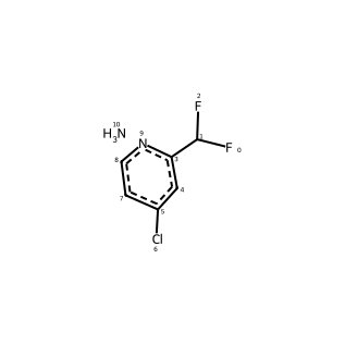 FC(F)c1cc(Cl)ccn1.N